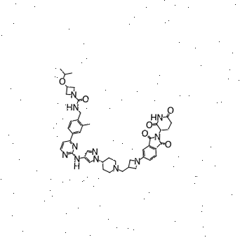 Cc1cc(-c2ccnc(Nc3cnn(C4CCN(CC5CN(c6ccc7c(c6)C(=O)N(C6CCC(=O)NC6=O)C7=O)C5)CC4)c3)n2)ccc1CNC(=O)N1CC(OC(C)C)C1